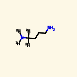 [2H]N([2H])C([2H])([2H])CCCN